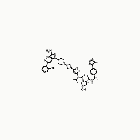 Cc1ncsc1-c1ccc([C@H](C)NC(=O)[C@@H]2C[C@@H](O)CN2C(=O)C(c2cc(N3CC(N4CCC(n5nc(N)c6nnc(-c7ccccc7O)cc65)CC4)C3)no2)C(C)C)cc1